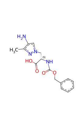 Cc1nn(C[C@H](NC(=O)OCc2ccccc2)C(=O)O)cc1N